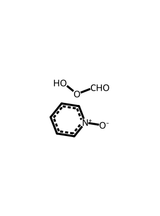 O=COO.[O-][n+]1ccccc1